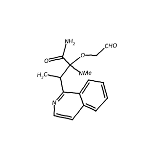 CNC(OCC=O)(C(N)=O)C(C)c1nccc2ccccc12